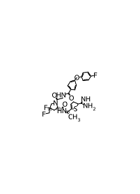 C[C@@H](NC(=O)[C@@H]1C[C@](F)(CF)CN1C(=O)CNC(=O)c1ccc(Oc2ccc(F)cc2)cc1)C1=CCC(C(=N)N)S1